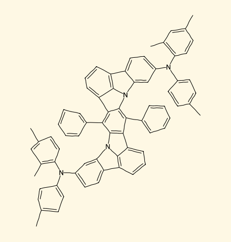 Cc1ccc(N(c2ccc3c4cccc5c6c(-c7ccccc7)c7c(c(-c8ccccc8)c6n(c3c2)c45)c2cccc3c4ccc(N(c5ccc(C)cc5)c5ccc(C)cc5C)cc4n7c32)c2ccc(C)cc2C)cc1